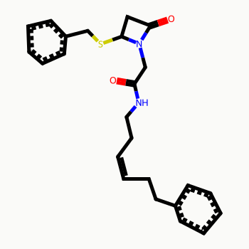 O=C(CN1C(=O)CC1SCc1ccccc1)NCC/C=C\CCc1ccccc1